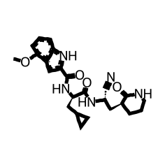 COc1cccc2[nH]c(C(=O)N[C@H](CC3CC3)C(=O)N[C@H](C#N)C[C@@H]3CCCNC3=O)cc12